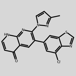 Cc1ccn(-c2nc3[nH]ccc(=O)c3cc2-c2cc(Cl)c3ncsc3c2)n1